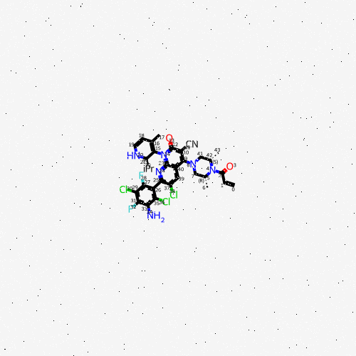 C=CC(=O)N1[C@H](C)CN(c2c(C#N)c(=O)n(C3=C(C)C=CN[C@@H]3C(C)C)c3nc(-c4c(F)c(Cl)c(F)c(N)c4Cl)c(Cl)cc23)C[C@@H]1C